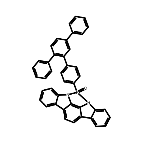 O=P1(c2ccc(-c3cc(-c4ccccc4)ccc3-c3ccccc3)cc2)n2c3ccccc3c3ccc4c5ccccc5n1c4c32